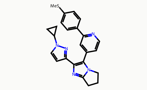 CSc1ccc(-c2cc(-c3c(-c4ccn(C5CC5)n4)nc4n3CCC4)ccn2)cc1